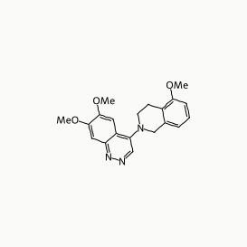 COc1cc2nncc(N3CCc4c(cccc4OC)C3)c2cc1OC